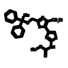 CCOC(=O)c1nc(CO[Si](c2ccccc2)(c2ccccc2)C(C)(C)C)sc1-c1csc(NC(=O)OC(C)(C)C)n1